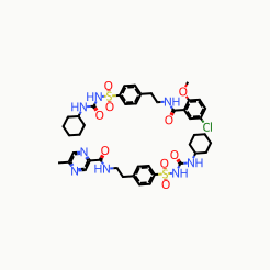 COc1ccc(Cl)cc1C(=O)NCCc1ccc(S(=O)(=O)NC(=O)NC2CCCCC2)cc1.Cc1cnc(C(=O)NCCc2ccc(S(=O)(=O)NC(=O)NC3CCCCC3)cc2)cn1